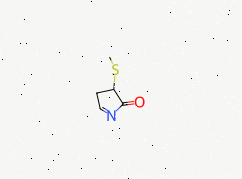 CSC1CC=NC1=O